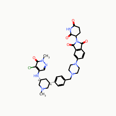 CN1C[C@H](Nc2cnn(C)c(=O)c2Cl)C[C@H](c2ccc(CN3CCN(c4ccc5c(c4)C(=O)N(C4CCC(=O)NC4=O)C5=O)CC3)cc2)C1